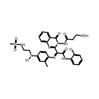 CCCCCCCCCCCCC(=O)Nn1c(/C(=N\c2ccc(N(CC)CCNS(C)(=O)=O)cc2C)C(=O)Nc2ccccc2Cl)nc2ccccc2c1=O